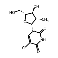 C[C@H]1[C@H](O)[C@@H](CO)O[C@H]1n1cc(Cl)c(=O)[nH]c1=O